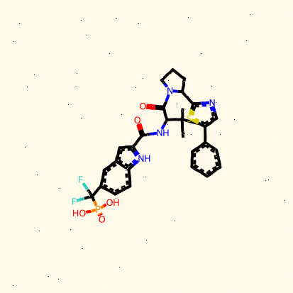 CC(C)(C)C(NC(=O)c1cc2cc(C(F)(F)P(=O)(O)O)ccc2[nH]1)C(=O)N1CCCC1c1ncc(-c2ccccc2)s1